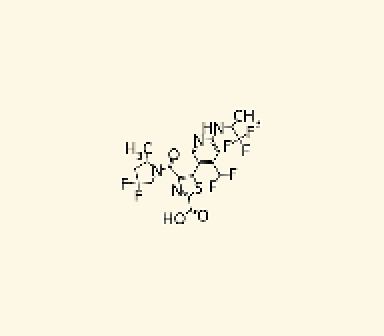 C[C@H](Nc1cc(C(F)F)c(-c2sc(C(=O)O)nc2C(=O)N2CC(F)(F)C[C@@H]2C)cn1)C(F)(F)F